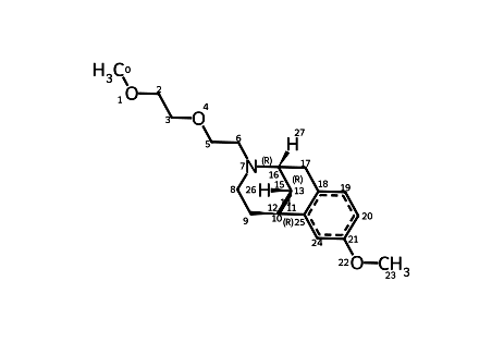 COCCOCCN1CC[C@]23CCCC[C@H]2[C@H]1Cc1ccc(OC)cc13